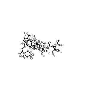 CC(C)[C@@H]1CC[C@]2(NCCC(CN)N3CCS(=O)(=O)CC3)CC[C@]3(C)[C@H](CC[C@@H]4[C@@]5(C)CC[C@H](OC(=O)[C@H]6[C@@H](C(=O)O)C6(C)C)C(C)(C)[C@@H]5CC[C@]43C)[C@@H]12